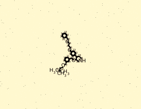 CC(C)(C)CCOCc1cccc(COC2CNCCC2c2ccc(OCCCOCc3ccccc3)cc2)c1